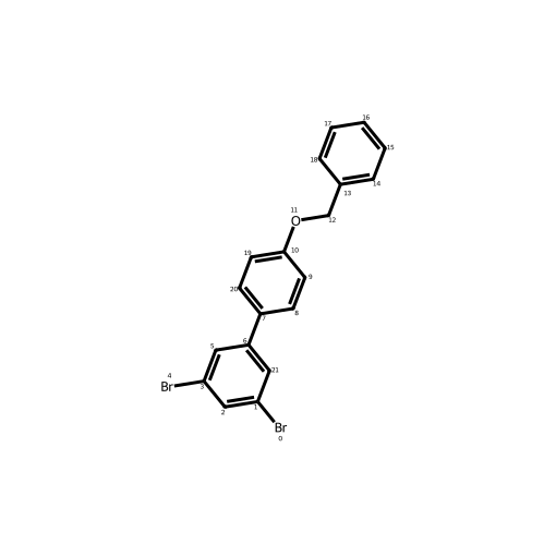 Brc1cc(Br)cc(-c2ccc(OCc3ccccc3)cc2)c1